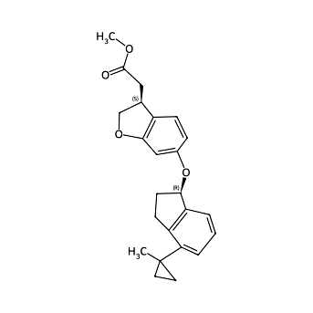 COC(=O)C[C@@H]1COc2cc(O[C@@H]3CCc4c3cccc4C3(C)CC3)ccc21